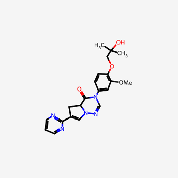 COc1cc(N2C=NN3C=C(c4ncccn4)CC3C2=O)ccc1OCC(C)(C)O